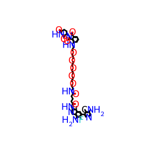 Cc1c(N)cncc1-c1cc2cc(NC(=O)CCCC(=O)NCCOCCOCCOCCOCCOCCNc3cccc4c3C(=O)N(C3CCC(=O)NC3=O)C4=O)ncc2c(N)c1F